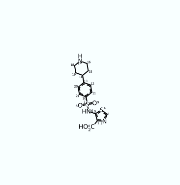 O=C(O)c1ncsc1NS(=O)(=O)c1ccc(C2CCNCC2)cc1